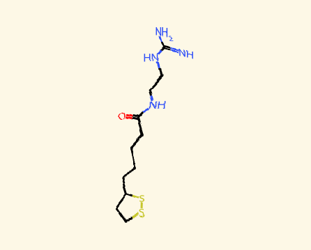 N=C(N)NCCNC(=O)CCCCC1CCSS1